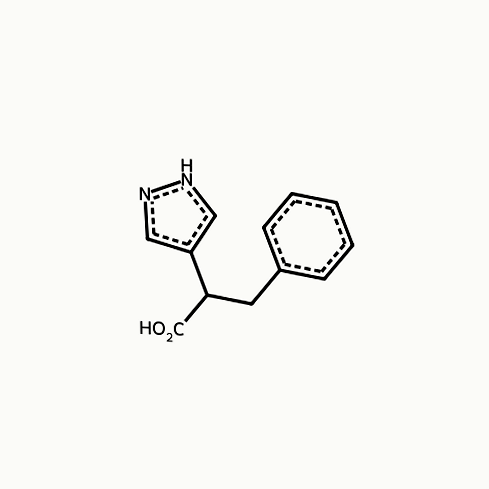 O=C(O)C(Cc1ccccc1)c1cn[nH]c1